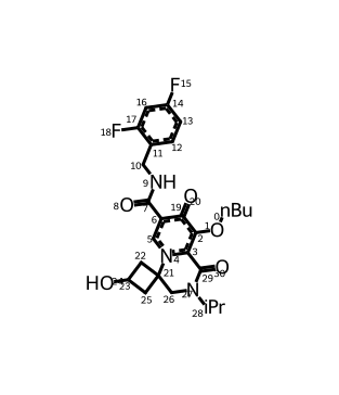 CCCCOc1c2n(cc(C(=O)NCc3ccc(F)cc3F)c1=O)C1(CC(O)C1)CN(C(C)C)C2=O